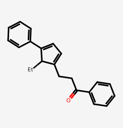 CCC1C(CCC(=O)c2ccccc2)=CC=C1c1ccccc1